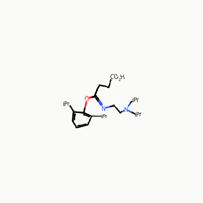 CC(C)c1cccc(C(C)C)c1OC(CCC(=O)O)=NCCN(C(C)C)C(C)C